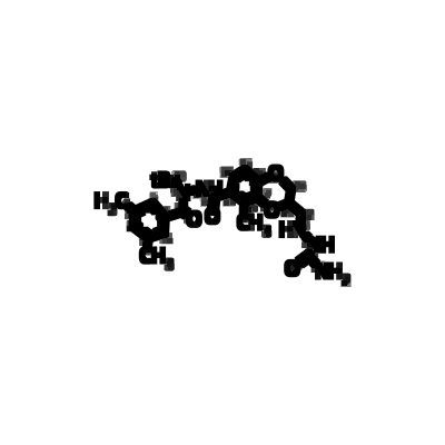 Cc1cc(C)cc(C(=O)N(NC(=O)c2ccc3c(c2C)OC(CNNC(N)=O)CO3)C(C)(C)C)c1